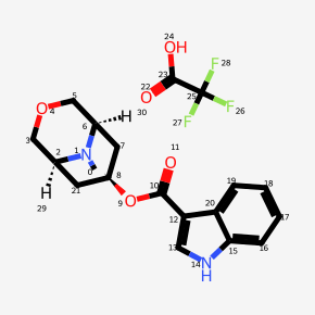 CN1[C@@H]2COC[C@H]1C[C@@H](OC(=O)c1c[nH]c3ccccc13)C2.O=C(O)C(F)(F)F